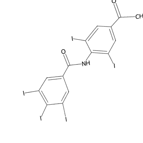 CC(=O)c1cc(I)c(NC(=O)c2cc(I)c(I)c(I)c2)c(I)c1